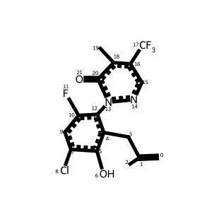 C=C(C)Cc1c(O)c(Cl)cc(F)c1-n1ncc(C(F)(F)F)c(C)c1=O